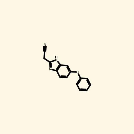 N#CCc1nc2ccc(Oc3ccccc3)cc2[nH]1